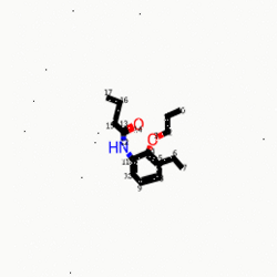 CCCOc1c(CC)cccc1NC(=O)CCC